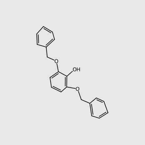 Oc1c(OCc2ccccc2)cccc1OCc1ccccc1